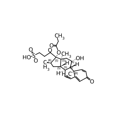 CCC(=O)O[C@@]1(C(=O)CCS(=O)(=O)O)[C@H](C)C[C@H]2[C@@H]3C=CC4=CC(=O)C=C[C@]4(C)[C@H]3[C@@H](O)C[C@@]21C